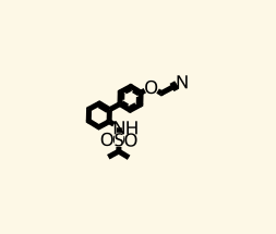 CC(C)S(=O)(=O)NC1CCCC=C1c1ccc(OCC#N)cc1